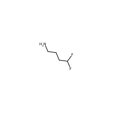 NCCCC(F)F